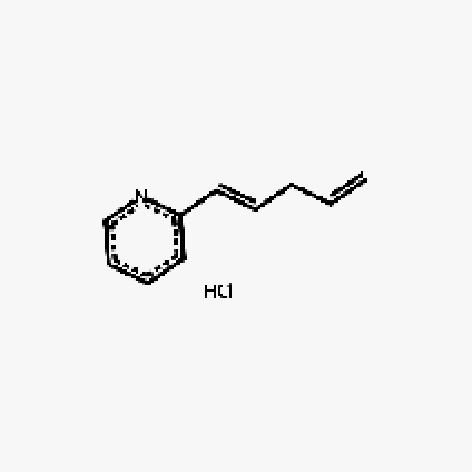 C=CCC=Cc1ccccn1.Cl